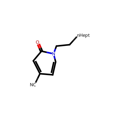 CCCCCCCCCn1ccc(C#N)cc1=O